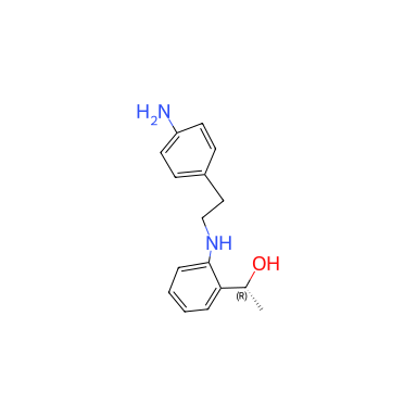 C[C@@H](O)c1ccccc1NCCc1ccc(N)cc1